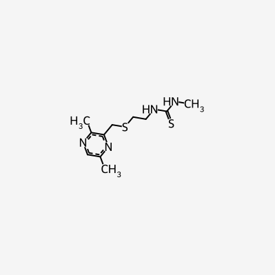 CNC(=S)NCCSCc1nc(C)cnc1C